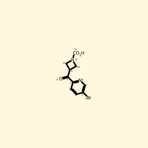 O=C(c1ccc(Br)cn1)C1CN(C(=O)O)C1